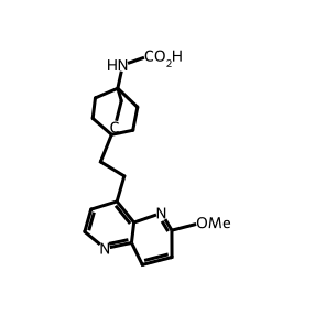 COc1ccc2nccc(CCC34CCC(NC(=O)O)(CC3)CC4)c2n1